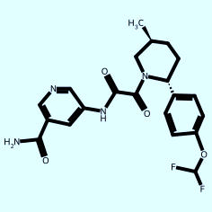 C[C@H]1CC[C@H](c2ccc(OC(F)F)cc2)N(C(=O)C(=O)Nc2cncc(C(N)=O)c2)C1